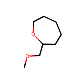 COCC1CCCCCO1